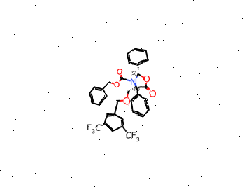 O=C(OCc1ccccc1)N1[C@H](c2ccccc2)OC(=O)[C@@]1(COCc1cc(C(F)(F)F)cc(C(F)(F)F)c1)c1ccccc1